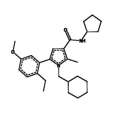 CCc1ccc(OC)cc1-c1cc(C(=O)NC2CCCC2)c(C)n1CC1CCCCC1